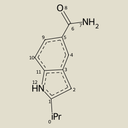 CC(C)c1cc2cc(C(N)=O)ccc2[nH]1